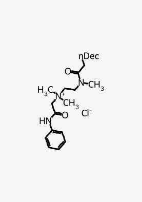 CCCCCCCCCCCC(=O)N(C)CC[N+](C)(C)CC(=O)Nc1ccccc1.[Cl-]